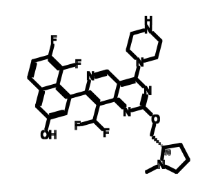 CN1CCC[C@H]1COc1nc(N2CCNCC2)c2cnc(-c3cc(O)cc4ccc(F)c(F)c34)c(C(F)F)c2n1